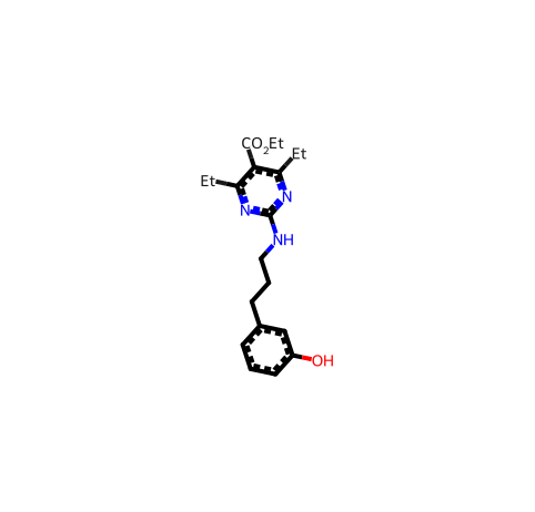 CCOC(=O)c1c(CC)nc(NCCCc2cccc(O)c2)nc1CC